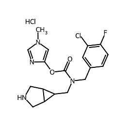 Cl.Cn1cnc(OC(=O)N(Cc2ccc(F)c(Cl)c2)CC2C3CNCC32)c1